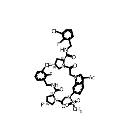 CC(=O)c1cn(CC(=O)N2C[C@H](F)C[C@H]2C(=O)NCc2cccc(Cl)c2F)c2cc(N(CC(=O)N3C[C@H](F)C[C@H]3C(=O)NCc3cccc(Cl)c3F)S(C)(=O)=O)ccc12